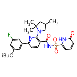 CC(C)COc1cc(F)cc(-c2ccc(C(=O)NS(=O)(=O)c3cccc(=O)[nH]3)c(N3CC(C)CC3(C)C)n2)c1